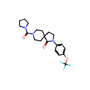 O=C(N1CCCC1)N1CCC2(CC1)CCN(c1ccc(OC(F)(F)F)cc1)C2=O